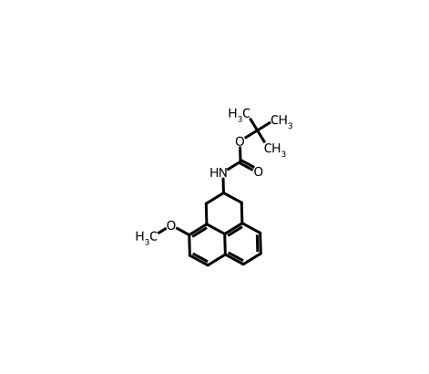 COc1ccc2cccc3c2c1CC(NC(=O)OC(C)(C)C)C3